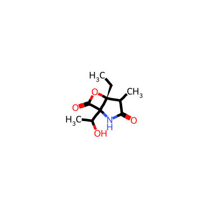 CC[C@]12OC(=O)C1(C(C)O)NC(=O)C2C